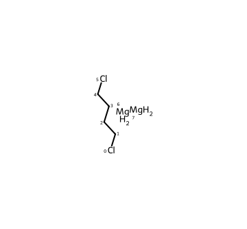 ClCCCCCl.[MgH2].[MgH2]